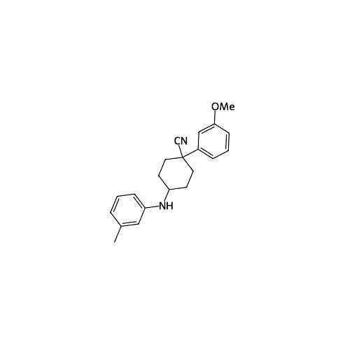 COc1cccc(C2(C#N)CCC(Nc3cccc(C)c3)CC2)c1